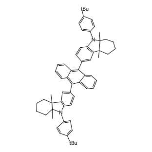 CC(C)(C)c1ccc(N2c3ccc(-c4c5ccccc5c(-c5ccc6c(c5)C5(C)CCCCC5(C)N6c5ccc(C(C)(C)C)cc5)c5ccccc45)cc3C3(C)CCCCC23C)cc1